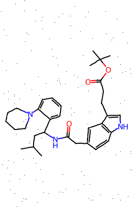 CC(C)CC(NC(=O)Cc1ccc2[nH]cc(CCC(=O)OC(C)(C)C)c2c1)c1ccccc1N1CCCCC1